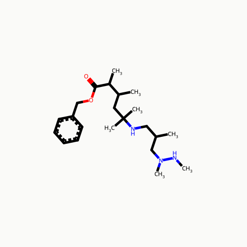 CNN(C)CC(C)CNC(C)(C)CC(C)C(C)C(=O)OCc1ccccc1